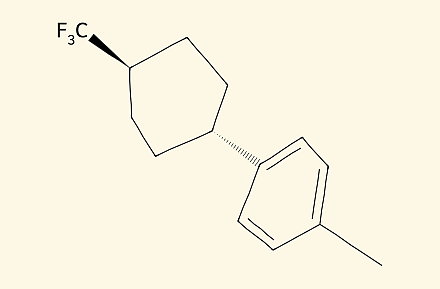 Cc1ccc([C@H]2CC[C@H](C(F)(F)F)CC2)cc1